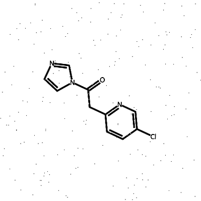 O=C(Cc1ccc(Cl)cn1)n1ccnc1